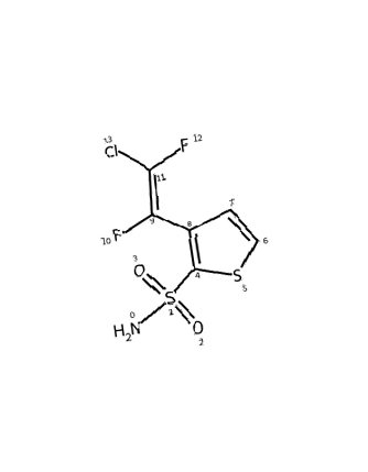 NS(=O)(=O)c1sccc1/C(F)=C(\F)Cl